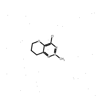 CS1=NC(Cl)=C2OCCCC2=N1